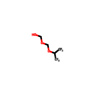 OCOCOC(C(F)(F)F)C(F)(F)F